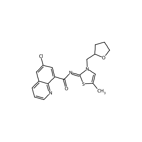 Cc1cn(CC2CCCO2)c(=NC(=O)c2cc(Cl)cc3cccnc23)s1